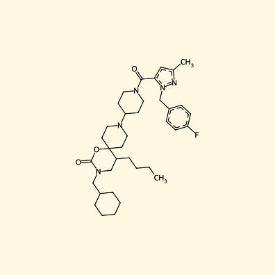 CCCCC1CN(CC2CCCCC2)C(=O)OC12CCN(C1CCN(C(=O)c3cc(C)nn3Cc3ccc(F)cc3)CC1)CC2